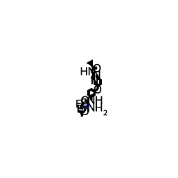 C=C(C)O/C(=C(\N)C(=O)Nc1cccc(Oc2ccc3nc(NC(=O)C4CC4)cn3c2)c1)C(F)(F)F